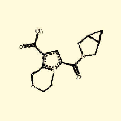 O=C(O)c1cc(C(=O)N2CC3CC3C2)n2c1COCC2